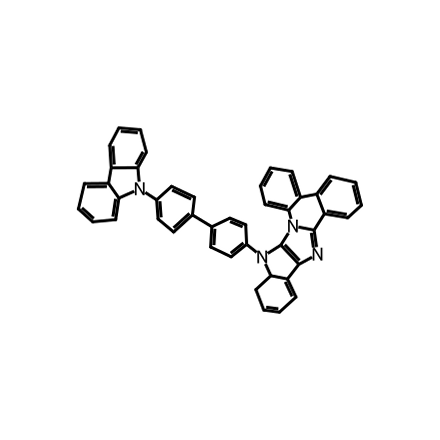 C1=CCC2C(=C1)c1nc3c4ccccc4c4ccccc4n3c1N2c1ccc(-c2ccc(-n3c4ccccc4c4ccccc43)cc2)cc1